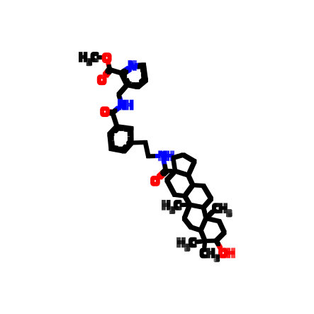 COC(=O)c1ncccc1CNC(=O)c1cccc(CCNC(=O)C23CCCC2C2CCC4C(C)(CCC5C(C)(C)C(O)CCC54C)C2CC3)c1